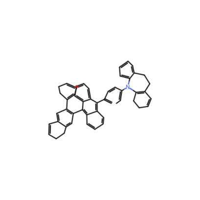 C=C(/C=C\C(=C/C)N1C2=C(C=CCC2)CCc2ccccc21)c1c2ccccc2c(-c2cc3c(cc2C2=CC=CCC2)C=CCC3)c2ccccc12